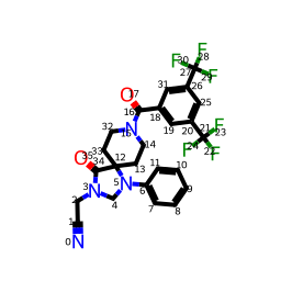 N#CCN1CN(c2ccccc2)C2(CCN(C(=O)c3cc(C(F)(F)F)cc(C(F)(F)F)c3)CC2)C1=O